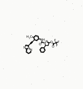 Cc1ccc(NC(=O)N2N=C(OC(=O)C(F)(F)F)CC2c2ccccc2)cc1C#Cc1cnc2cccnn12